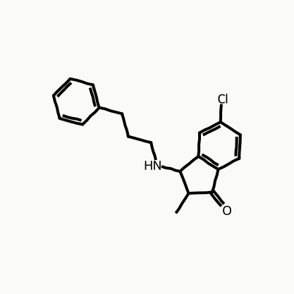 CC1C(=O)c2ccc(Cl)cc2C1NCCCc1ccccc1